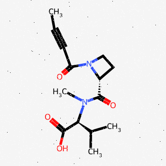 CC#CC(=O)N1CC[C@@H]1C(=O)N(C)[C@H](C(=O)O)C(C)C